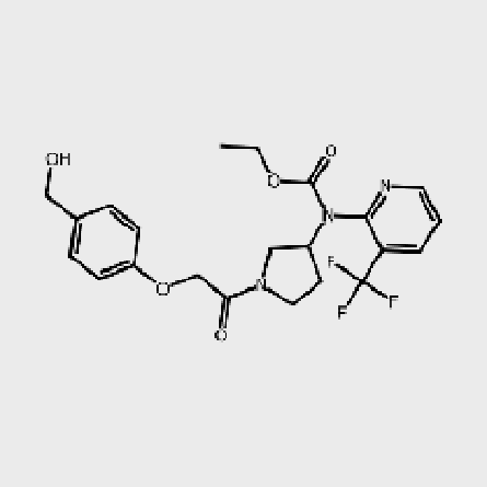 CCOC(=O)N(c1ncccc1C(F)(F)F)C1CCN(C(=O)COc2ccc(CO)cc2)C1